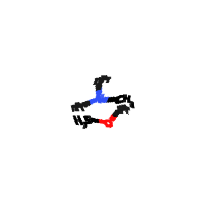 CC(C)O[SiH3].CCCN(C)CCC